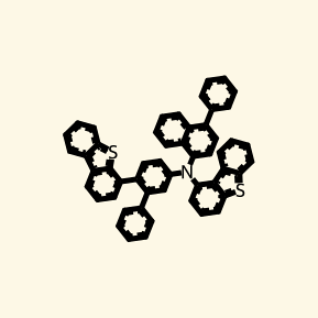 c1ccc(-c2cc(N(c3ccc(-c4ccccc4)c4ccccc34)c3cccc4sc5ccccc5c34)ccc2-c2cccc3c2sc2ccccc23)cc1